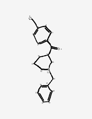 O=C(c1ccc(Cl)cc1)C1CCCN(Cc2ccccc2)C1